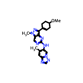 COC1CC=C(c2nn(C)c3cnc(Nc4cn5ncnc5cc4C)nc23)CC1